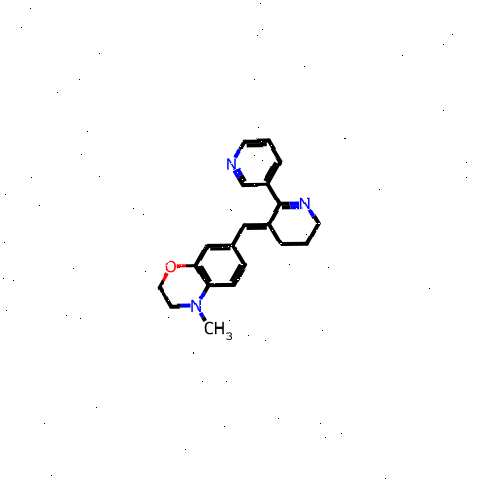 CN1CCOc2cc(C=C3CCCN=C3c3cccnc3)ccc21